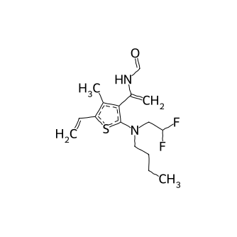 C=Cc1sc(N(CCCC)CC(F)F)c(C(=C)NC=O)c1C